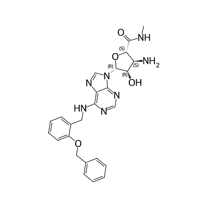 CNC(=O)[C@H]1O[C@@H](n2cnc3c(NCc4ccccc4OCc4ccccc4)ncnc32)[C@H](O)[C@@H]1N